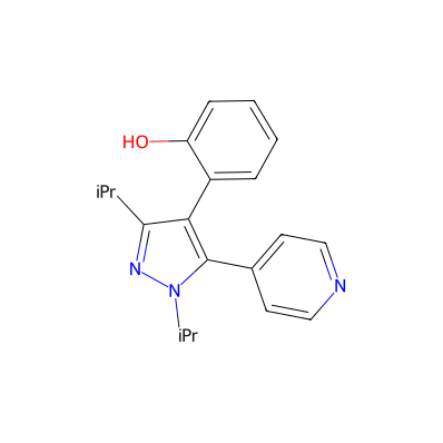 CC(C)c1nn(C(C)C)c(-c2ccncc2)c1-c1ccccc1O